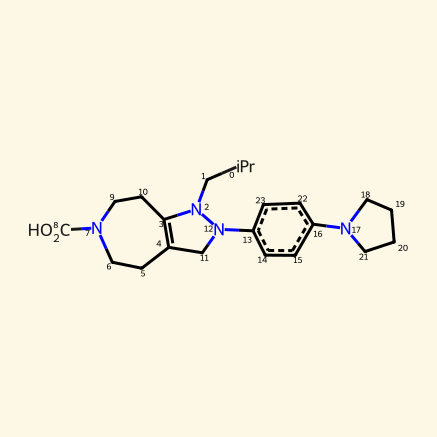 CC(C)CN1C2=C(CCN(C(=O)O)CC2)CN1c1ccc(N2CCCC2)cc1